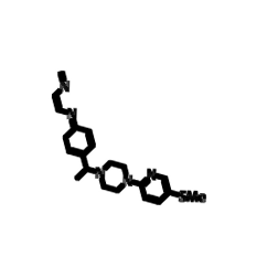 C=N/C=C\N=C1\C=CC(C(C)N2CCN(c3ccc(SC)cn3)CC2)=CC1